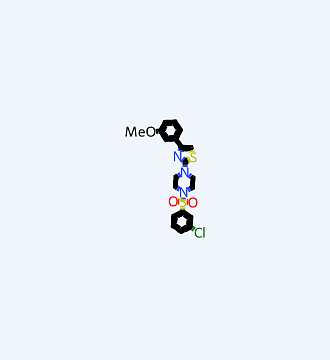 COc1cccc(-c2csc(N3CCN(S(=O)(=O)c4cccc(Cl)c4)CC3)n2)c1